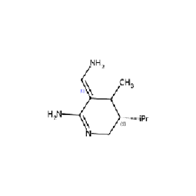 CC(C)[C@@H]1CN=C(N)/C(=C/N)C1C